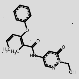 C/C=C\C(Oc1ccccc1)=C(/C)C(=O)Nc1cnn(CO)c(=O)c1